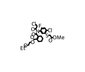 CCOCCOC(=O)C1=C(C(=O)N(C(=O)CCl)c2cc(SCC(=O)OC)c(Cl)cc2F)CCCC1